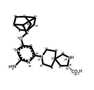 Nc1nc(OCC2C3CC4CC(C3)C2C4)cc(N2CCC3(CC2)CN[C@H](C(=O)O)C3)n1